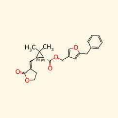 CC1(C)[C@H](C=C2CCOC2=O)[C@H]1C(=O)OCc1coc(Cc2ccccc2)c1